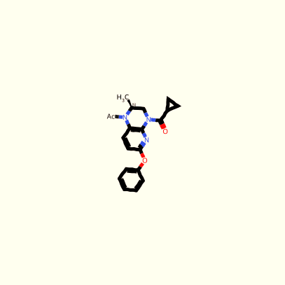 CC(=O)N1c2ccc(Oc3ccccc3)nc2N(C(=O)C2CC2)C[C@@H]1C